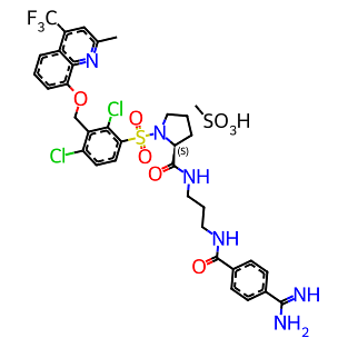 CS(=O)(=O)O.Cc1cc(C(F)(F)F)c2cccc(OCc3c(Cl)ccc(S(=O)(=O)N4CCC[C@H]4C(=O)NCCCNC(=O)c4ccc(C(=N)N)cc4)c3Cl)c2n1